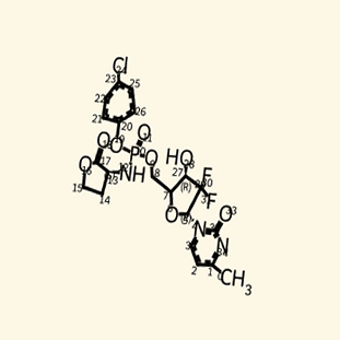 Cc1ccn([C@@H]2OC(COP(=O)(N[C@H]3CCOC3=O)Oc3ccc(Cl)cc3)[C@@H](O)C2(F)F)c(=O)n1